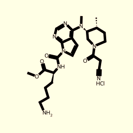 COC(=O)[C@H](CCCCN)NC(=O)n1ccc2c(N(C)[C@H]3CN(C(=O)CC#N)CC[C@H]3C)ncnc21.Cl